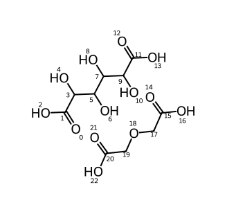 O=C(O)C(O)C(O)C(O)C(O)C(=O)O.O=C(O)COCC(=O)O